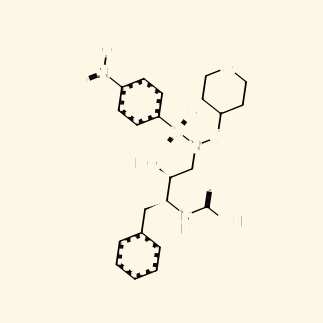 O=C(O)N[C@@H](Cc1ccccc1)[C@@H](O)CN(OC1CCOCC1)S(=O)(=O)c1ccc([N+](=O)[O-])cc1